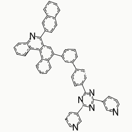 c1cncc(-c2nc(-c3ccc(-c4cccc(-c5cc6c(-c7ccc8ccccc8c7)nc7ccccc7c6c6ccccc56)c4)cc3)nc(-c3cccnc3)n2)c1